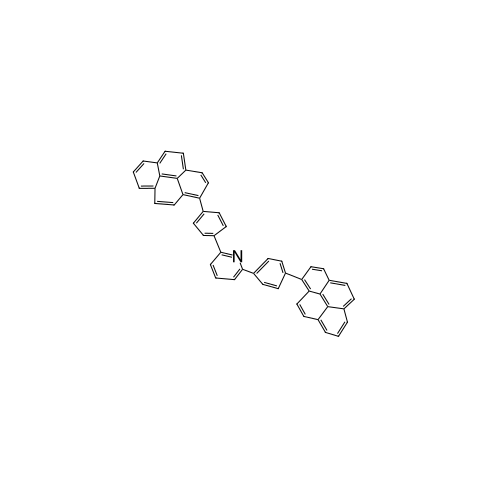 c1cc(-c2ccc(-c3ccc4ccc5cccc6ccc3c4c56)cc2)nc(-c2ccc(-c3ccc4ccc5cccc6ccc3c4c56)cc2)c1